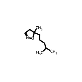 CC(C)CCCC1(C)CC=NO1